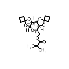 C=C(C)C(=O)OC[C@H]1O[C@@H]2OC3(CCC3)O[C@@H]2[C@H]2OC3(CCC3)O[C@H]21